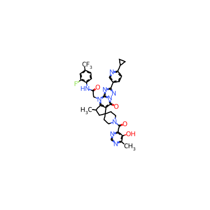 Cc1ncnc(C(=O)N2CCC3(CC2)CC(C)c2c3c(=O)n3nc(-c4ccc(C5CC5)nc4)nc3n2CC(=O)Nc2ccc(C(F)(F)F)cc2F)c1O